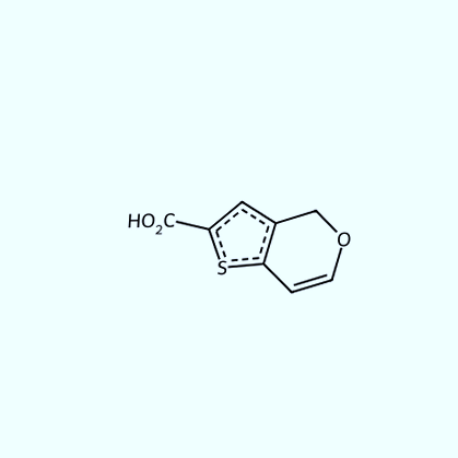 O=C(O)c1cc2c(s1)C=COC2